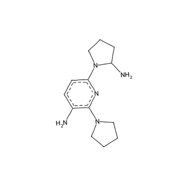 Nc1ccc(N2CCCC2N)nc1N1CCCC1